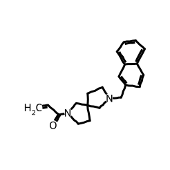 C=CC(=O)N1CCC2(CCN(Cc3ccc4ccccc4c3)C2)C1